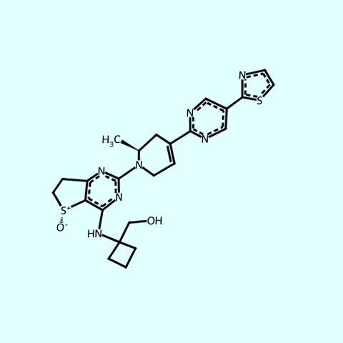 C[C@H]1CC(c2ncc(-c3nccs3)cn2)=CCN1c1nc2c(c(NC3(CO)CCC3)n1)[S@+]([O-])CC2